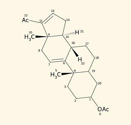 CC(=O)OC1CC[C@]2(C)C3=CC[C@]4(C)C(C(C)=O)=CC[C@H]4[C@@H]3CCC2C1